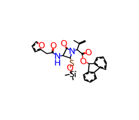 C=C(C)C(C(=O)OC1c2ccccc2-c2ccccc21)N1C(=O)C(NC(=O)Cc2ccco2)C1SO[Si](C)(C)C